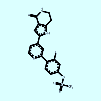 O=C1NCCc2[nH]c(-c3ccnc(-c4ccc(OS(=O)(=O)C(F)(F)F)cc4F)c3)cc21